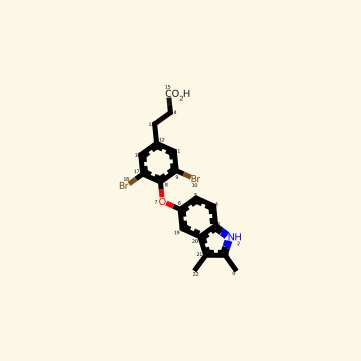 Cc1[nH]c2ccc(Oc3c(Br)cc(CCC(=O)O)cc3Br)cc2c1C